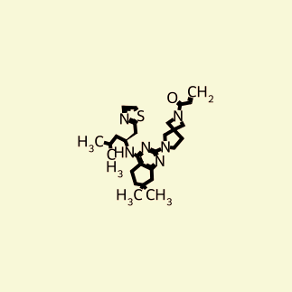 C=CC(=O)N1CC2(CCN(c3nc4c(c(N[C@H](Cc5nccs5)CC(C)C)n3)CCC(C)(C)C4)C2)C1